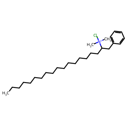 CCCCCCCCCCCCCCCCCC(Cc1ccccc1)[N+](C)(C)Cl